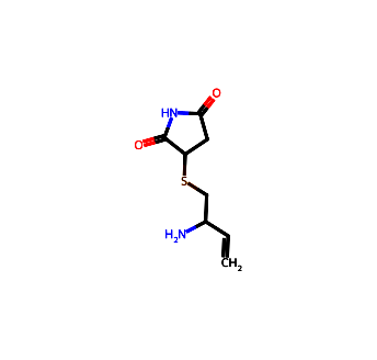 C=CC(N)CSC1CC(=O)NC1=O